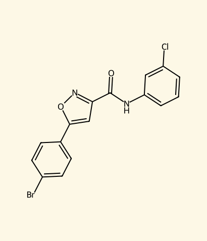 O=C(Nc1cccc(Cl)c1)c1cc(-c2ccc(Br)cc2)on1